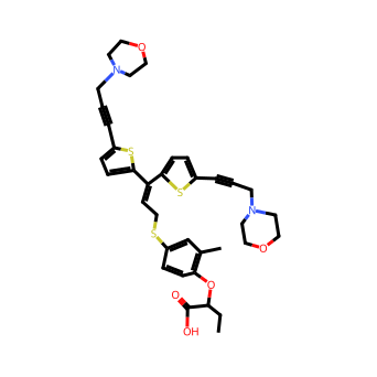 CCC(Oc1ccc(SCC=C(c2ccc(C#CCN3CCOCC3)s2)c2ccc(C#CCN3CCOCC3)s2)cc1C)C(=O)O